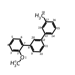 COc1ccccc1-c1cccc(-c2cccc(C)c2)c1